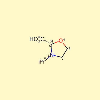 CC(C)N1CCO[C@H]1C(=O)O